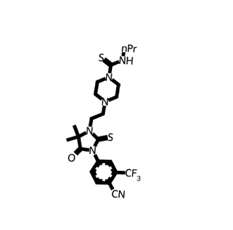 CCCNC(=S)N1CCN(CCN2C(=S)N(c3ccc(C#N)c(C(F)(F)F)c3)C(=O)C2(C)C)CC1